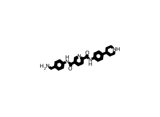 NCc1ccc(NC(=O)c2ccc(C(=O)Nc3ccc(C4=CCNCC4)cc3)nc2)cc1